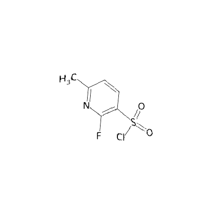 Cc1ccc(S(=O)(=O)Cl)c(F)n1